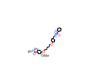 COc1cc(C(=O)N(C(C)C)C(C)C)ccc1OCCCCCOc1ccc(C=NNC(=O)c2ccccc2)cc1